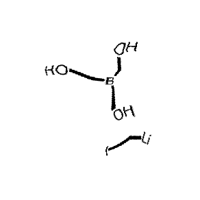 OB(O)O.[Li][I]